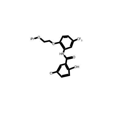 CC(C)OCCOc1ccc(C(F)(F)F)cc1NC(=O)c1cc(Cl)ccc1O